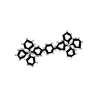 c1ccc([Si](c2ccccc2)(c2ccccc2)c2ccc(-c3ccc(-c4ccc([Si](c5ccccc5)(c5ccccc5)c5ccccc5)cc4)cc3)cc2)cc1